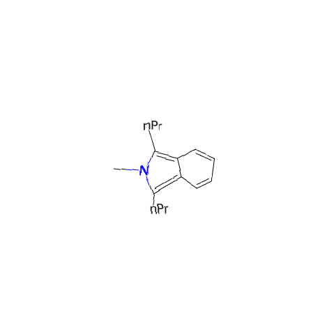 CCCc1c2ccccc2c(CCC)n1C